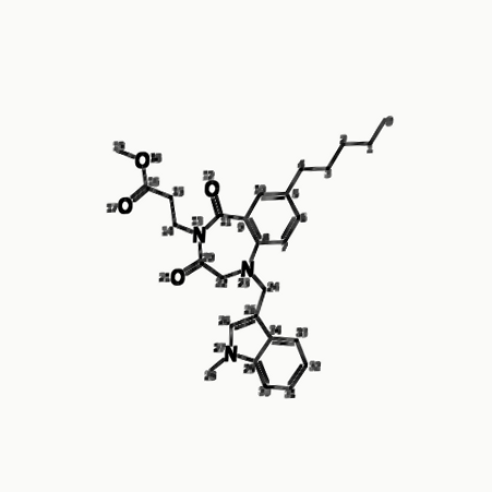 CCCCCc1ccc2c(c1)C(=O)N(CCC(=O)OC)C(=O)CN2Cc1cn(C)c2ccccc12